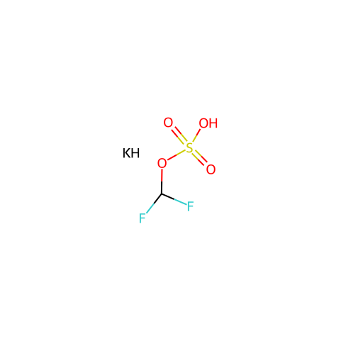 O=S(=O)(O)OC(F)F.[KH]